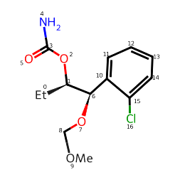 CC[C@@H](OC(N)=O)[C@H](OCOC)c1ccccc1Cl